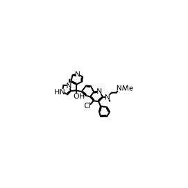 CNCCN(C)c1nc2ccc(C(O)(C3=CNCN3C)c3ccncc3)cc2c(Cl)c1-c1ccccc1